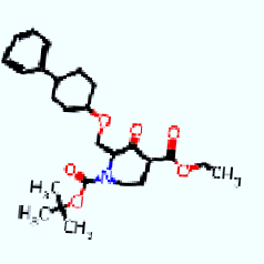 CCOC(=O)C1CCN(C(=O)OC(C)(C)C)C(COC2CCC(c3ccccc3)CC2)C1=O